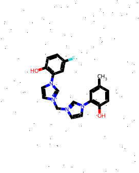 Cc1ccc(O)c(-n2cc[n+](C[n+]3ccn(-c4cc(F)ccc4O)c3)c2)c1